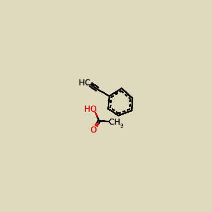 C#Cc1ccccc1.CC(=O)O